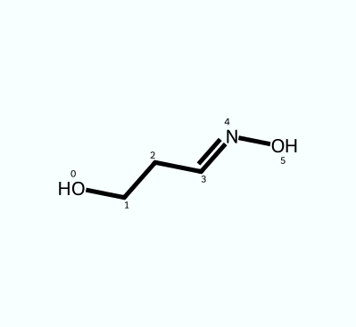 OCCC=NO